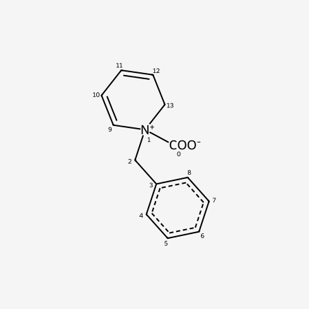 O=C([O-])[N+]1(Cc2ccccc2)C=CC=CC1